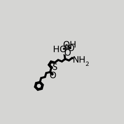 NCCC(CCc1ccc(C(=O)CCCc2ccccc2)s1)COP(=O)(O)O